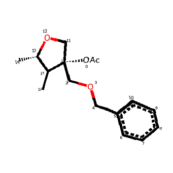 CC(=O)O[C@@]1(COCc2ccccc2)CO[C@@H](C)C1C